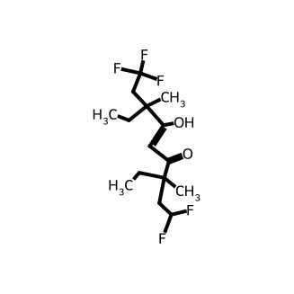 CCC(C)(CC(F)F)C(=O)/C=C(\O)C(C)(CC)CC(F)(F)F